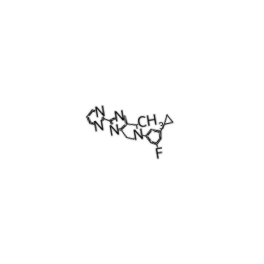 CC1c2cnc(-c3ncccn3)nc2CCN1c1cc(F)cc(C2CC2)c1